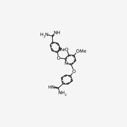 COc1cc(Oc2ccc(C(=N)N)cc2)nc(Oc2ccc(C(=N)N)cc2)c1OC